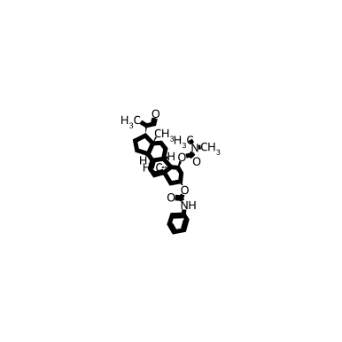 CC(C=O)[C@H]1CC[C@H]2C3=CC=C4C[C@@H](OC(=O)Nc5ccccc5)C[C@H](OC(=O)N(C)C)[C@]4(C)[C@H]3CC[C@]12C